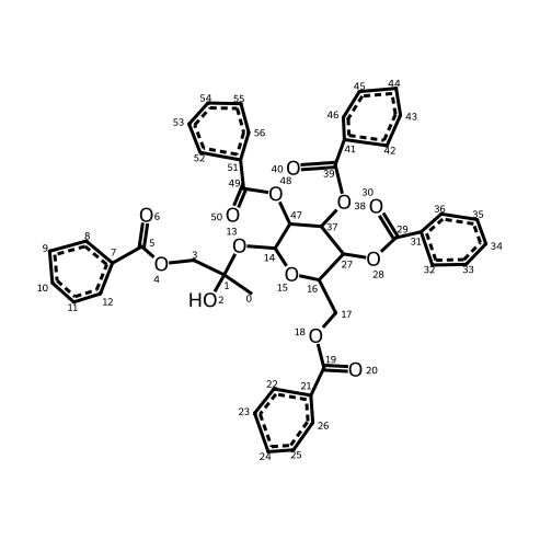 CC(O)(COC(=O)c1ccccc1)OC1OC(COC(=O)c2ccccc2)C(OC(=O)c2ccccc2)C(OC(=O)c2ccccc2)C1OC(=O)c1ccccc1